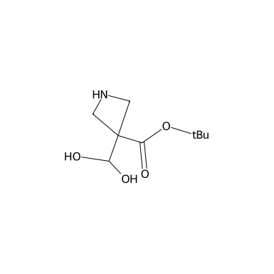 CC(C)(C)OC(=O)C1(C(O)O)CNC1